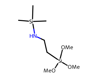 CO[Si](CCN[Si](C)(C)C)(OC)OC